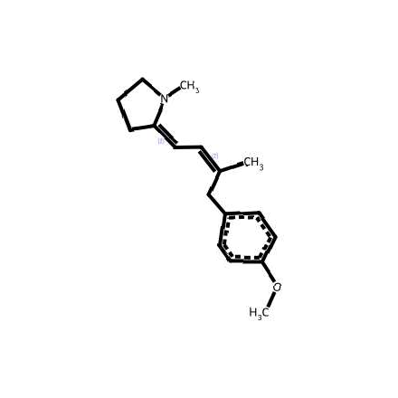 COc1ccc(C/C(C)=C\C=C2\CCCN2C)cc1